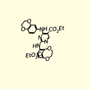 CCOC(=O)c1cnc(Nc2ccc3c(C(=O)OCC)c2OCCO3)nc1Nc1ccc2c(c1)OCCO2